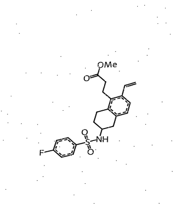 C=Cc1ccc2c(c1CCC(=O)OC)CCC(NS(=O)(=O)c1ccc(F)cc1)C2